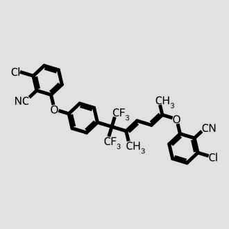 C/C(=C\C=C(/C)C(c1ccc(Oc2cccc(Cl)c2C#N)cc1)(C(F)(F)F)C(F)(F)F)Oc1cccc(Cl)c1C#N